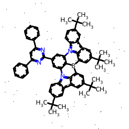 CC(C)(C)c1ccc2c(c1)c1cc(C(C)(C)C)cc3c1n2-c1cc(-c2nc(-c4ccccc4)cc(-c4ccccc4)n2)cc2c1B3c1cc(C(C)(C)C)cc3c4cc(C(C)(C)C)ccc4n-2c13